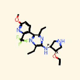 CCO[C@@H]1CNC[C@H]1Nc1nc(CC)c(-c2ccc(OC)nc2C(F)(F)F)nc1CC